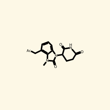 CC(=O)Cc1cccc2c1n(C)c(=O)n2C1CCC(=O)NC1=O